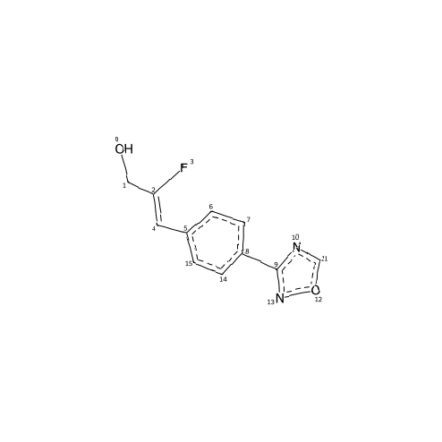 OCC(F)=Cc1ccc(-c2ncon2)cc1